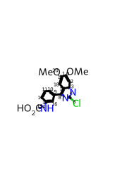 COc1cc2nc(Cl)nc(-c3cccc(NC(=O)O)c3)c2cc1OC